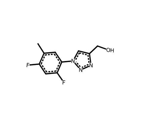 Cc1cc(-n2cc(CO)nn2)c(F)cc1F